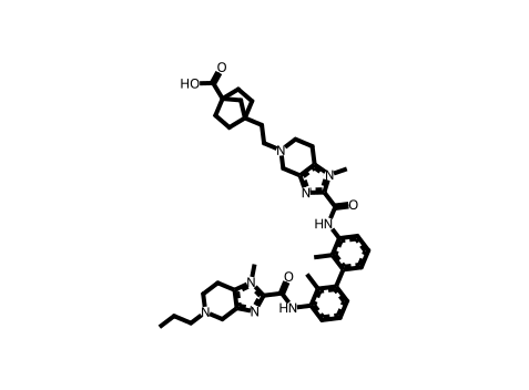 CCCN1CCc2c(nc(C(=O)Nc3cccc(-c4cccc(NC(=O)c5nc6c(n5C)CCN(CCC57CCC(C(=O)O)(CC5)C7)C6)c4C)c3C)n2C)C1